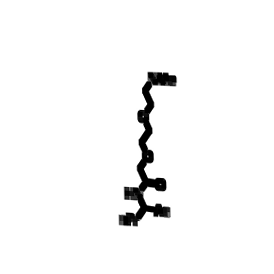 CCCC(NC(=O)COCCOCCNC)C(C)=O